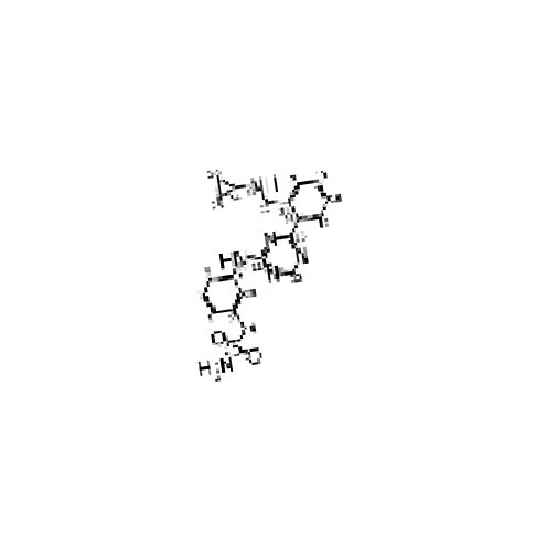 NS(=O)(=O)Cc1cccc(Nc2ncnc(-c3ccccc3CNC3CC3)n2)c1